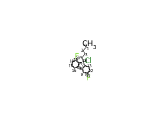 CCCCCC(Cl)(c1ccc(F)cc1)c1ccccc1F